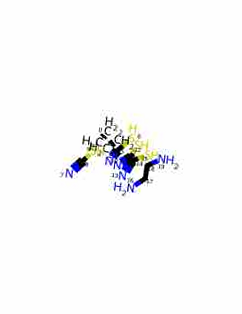 C=C.C=C.N#CS.N#CS.N#CS.N#CS.NCCN